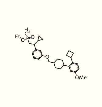 CCOP(C)(=O)C[C@H](c1cccc(OCC2CCC(c3cc(OC)ccc3C3CCC3)CC2)c1)C1CC1